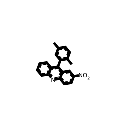 Cc1ccc(C)c(-c2c3ccccc3nc3ccc([N+](=O)[O-])cc23)c1